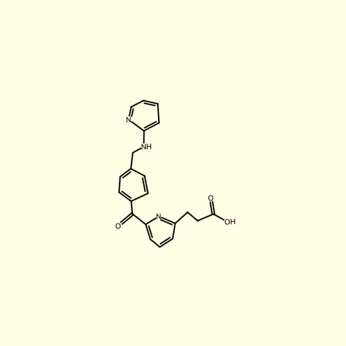 O=C(O)CCc1cccc(C(=O)c2ccc(CNc3ccccn3)cc2)n1